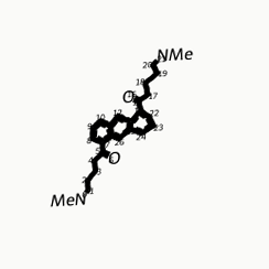 CNCCCCC(=O)c1cccc2cc3c(C(=O)CCCCNC)cccc3cc12